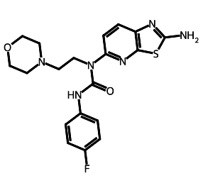 Nc1nc2ccc(N(CCN3CCOCC3)C(=O)Nc3ccc(F)cc3)nc2s1